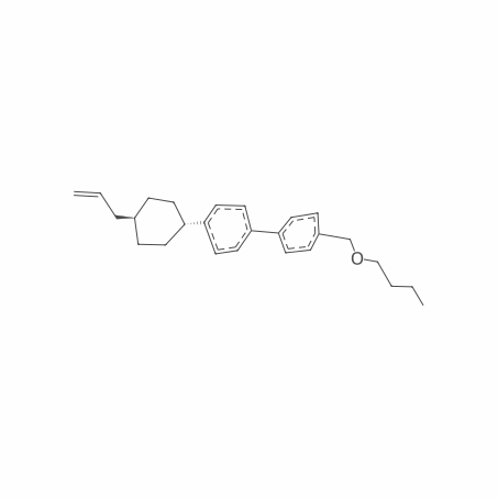 C=CC[C@H]1CC[C@H](c2ccc(-c3ccc(COCCCC)cc3)cc2)CC1